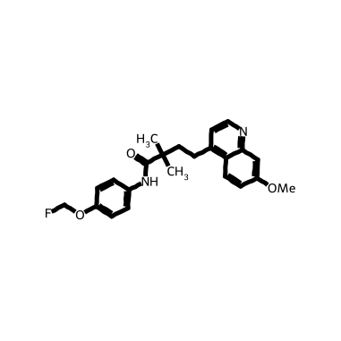 COc1ccc2c(CCC(C)(C)C(=O)Nc3ccc(OCF)cc3)ccnc2c1